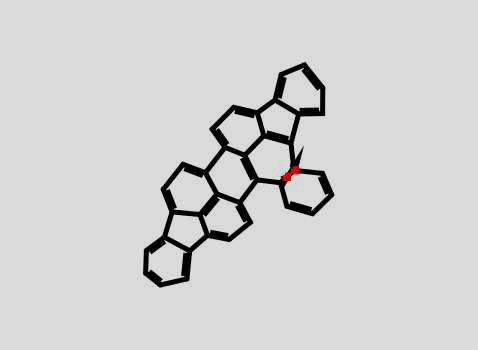 C1=CC23C=CC=CC2(C=C1)c1c2ccc4c5c(ccc(c6ccc7c(c16)=C3c1ccccc1-7)c25)-c1ccccc1-4